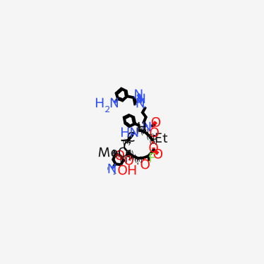 CC[C@@H]1OC(=O)C(C)(F)C(=O)[C@H](C)[C@@H](O[C@@H]2O[C@H](C)CC(N(C)C)C2O)[C@](C)(OC)C[C@@H](C)CN[C@H](Cc2ccccc2)[C@H]2N(CCCCn3cc(-c4cccc(N)c4)nn3)C(=O)O[C@]12C